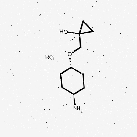 Cl.N[C@H]1CC[C@H](OCC2(O)CC2)CC1